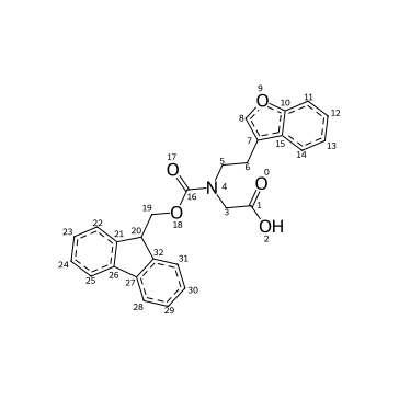 O=C(O)CN(CCc1coc2ccccc12)C(=O)OCC1c2ccccc2-c2ccccc21